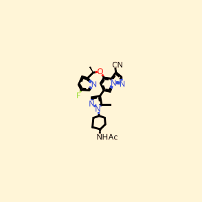 CC(=O)NC1CCC(n2ncc(-c3cc(O[C@H](C)c4ccc(F)cn4)c4c(C#N)cnn4c3)c2C)CC1